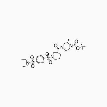 CCN(CC)S(=O)(=O)c1ccc(S(=O)(=O)N2CCC[C@@H](C(=O)N3CCN(C(=O)OC(C)(C)C)[C@H](C)C3)C2)cc1